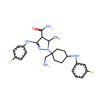 CC1C(C(N)=O)C(Nc2ccc(F)cc2)=NN1C1(CN)CCC(Nc2cccc(F)c2)CC1